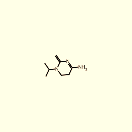 C=C1N=C(N)CCN1C(C)C